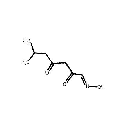 CC(C)CC(=O)CC(=O)/C=N/O